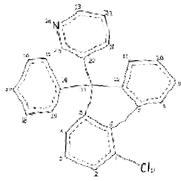 Clc1cccc2c1-c1ccccc1C2(c1ccccc1)c1cccnc1